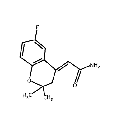 CC1(C)CC(=CC(N)=O)c2cc(F)ccc2O1